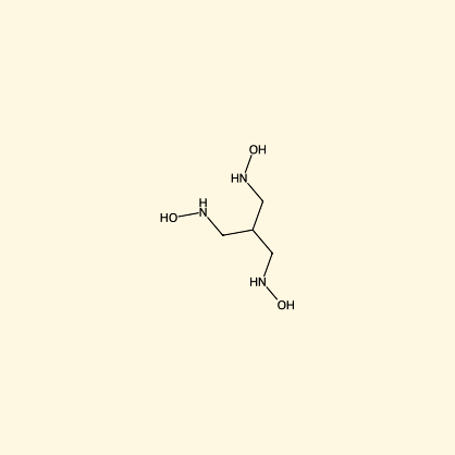 ONCC(CNO)CNO